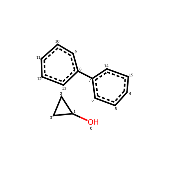 OC1CC1.c1ccc(-c2ccccc2)cc1